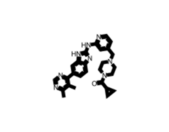 Cc1ncnc(-c2ccc3nc(Nc4cc(CN5CCN(C(=O)C6CC6)CC5)ccn4)[nH]c3c2)c1C